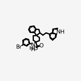 O=C(O)C1(Nc2cccc(Br)c2)CCC2(CC1)c1ccccc1CC2CCc1cccc2[nH]ccc12